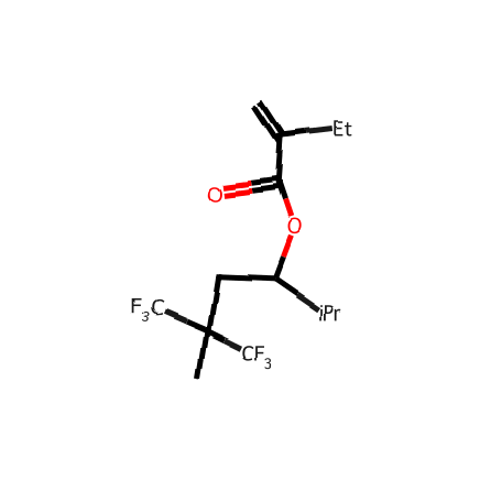 C=C(CC)C(=O)OC(CC(C)(C(F)(F)F)C(F)(F)F)C(C)C